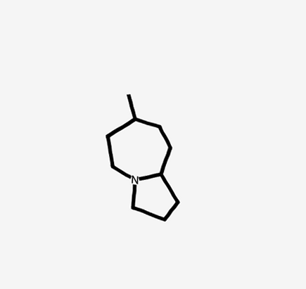 CC1CCC2CCCN2CC1